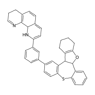 C1=CC2=C(N=CCC2)C2NC(c3cccc(-c4ccc5c(c4)C4C6=C(CCCC6)OC4c4ccccc4S5)c3)=CC=C12